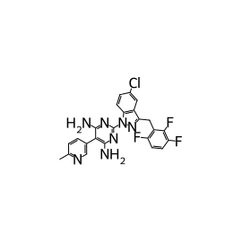 Cc1ccc(-c2c(N)nc(-n3nc(Cc4c(F)ccc(F)c4F)c4cc(Cl)ccc43)nc2N)cn1